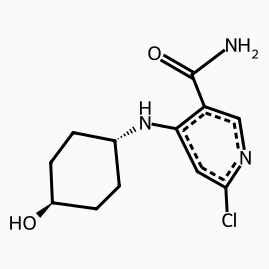 NC(=O)c1cnc(Cl)cc1N[C@H]1CC[C@H](O)CC1